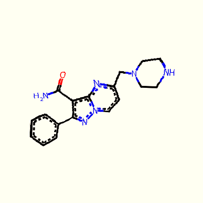 NC(=O)c1c(-c2ccccc2)nn2ccc(CN3CCNCC3)nc12